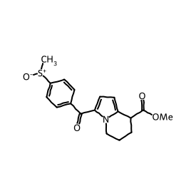 COC(=O)C1CCCn2c(C(=O)c3ccc([S+](C)[O-])cc3)ccc21